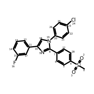 CS(=O)(=O)c1ccc(-c2nc(-c3cccc(F)c3)cn2-c2ccc(Cl)cc2)cc1